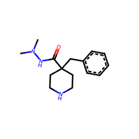 CN(C)NC(=O)C1(Cc2ccccc2)CCNCC1